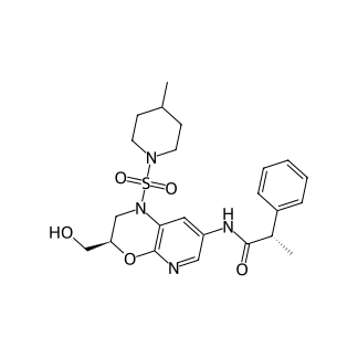 CC1CCN(S(=O)(=O)N2C[C@H](CO)Oc3ncc(NC(=O)[C@@H](C)c4ccccc4)cc32)CC1